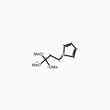 COC(CCn1cccc1)(OC)OC